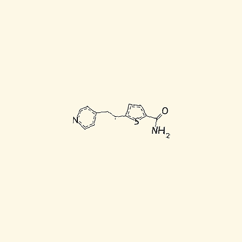 NC(=O)c1ccc([CH]Cc2ccncc2)s1